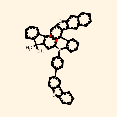 CC1(C)c2ccccc2-c2ccc(N(c3ccc(-c4ccc5oc6ccccc6c5c4)cc3)c3ccccc3-c3cccc4oc5cc6ccccc6cc5c34)cc21